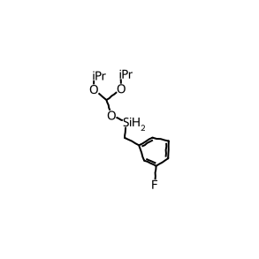 CC(C)OC(O[SiH2]Cc1cccc(F)c1)OC(C)C